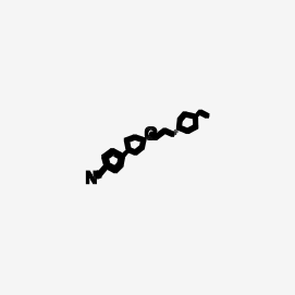 CC[C@H]1CC[C@H](CCCO[C@H]2CC[C@H](c3ccc(C#N)cc3)CC2)CC1